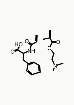 C=C(C)C(=O)OCCN(C)C.C=CC(=O)NC(Cc1ccccc1)C(=O)O